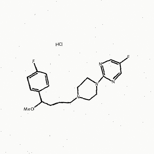 COC(CCCN1CCN(c2ncc(F)cn2)CC1)c1ccc(F)cc1.Cl